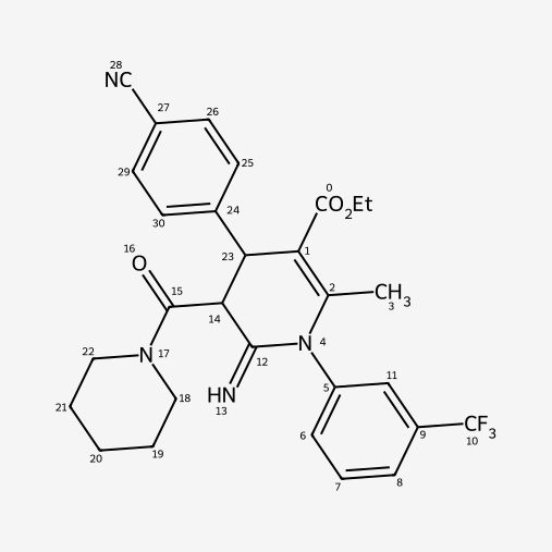 CCOC(=O)C1=C(C)N(c2cccc(C(F)(F)F)c2)C(=N)C(C(=O)N2CCCCC2)C1c1ccc(C#N)cc1